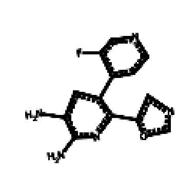 Nc1cc(-c2ccncc2F)c(-c2cnco2)nc1N